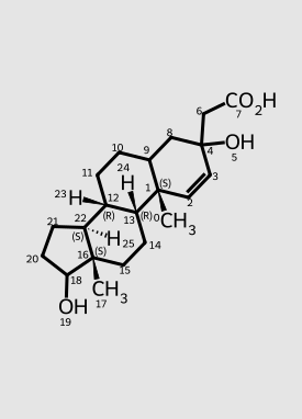 C[C@]12C=CC(O)(CC(=O)O)CC1CC[C@@H]1[C@H]2CC[C@]2(C)C(O)CC[C@@H]12